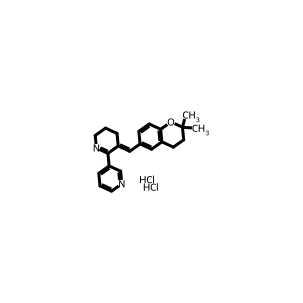 CC1(C)CCc2cc(C=C3CCCN=C3c3cccnc3)ccc2O1.Cl.Cl